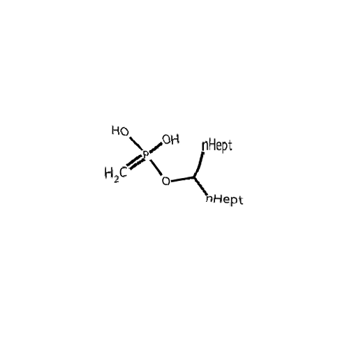 C=P(O)(O)OC(CCCCCCC)CCCCCCC